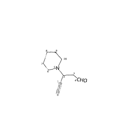 [C]#CC(CC=O)N1CCCCC1